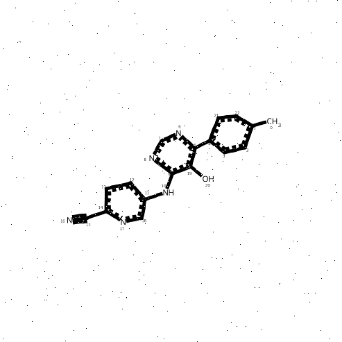 Cc1ccc(-c2ncnc(Nc3ccc(C#N)nc3)c2O)cc1